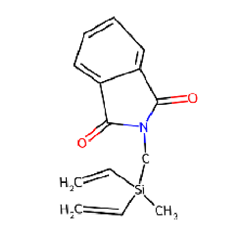 C=C[Si](C)(C=C)CN1C(=O)c2ccccc2C1=O